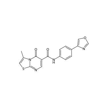 Cc1csc2ncc(C(=O)Nc3ccc(-c4cocn4)cc3)c(=O)n12